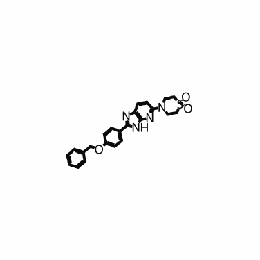 O=S1(=O)CCN(c2ccc3nc(-c4ccc(OCc5ccccc5)cc4)[nH]c3n2)CC1